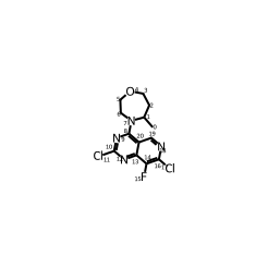 CC1CCOCCN1c1nc(Cl)nc2c(F)c(Cl)ncc12